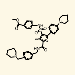 COC(=O)c1ccc(NS(=O)(=O)c2c(-c3ccc(N4CCCCC4)cc3)sc(C(=O)NCc3ccc(CN4CCCCC4)cc3)c2C)cc1